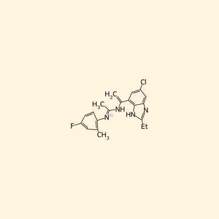 C=C(N/C(C)=N/c1ccc(F)cc1C)c1cc(Cl)cc2nc(CC)[nH]c12